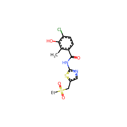 CCS(=O)(=O)Cc1cnc(NC(=O)c2ccc(Cl)c(O)c2C)s1